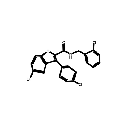 CCc1ccc2oc(C(=O)NCc3ccccc3Cl)c(-c3ccc(Cl)cc3)c2c1